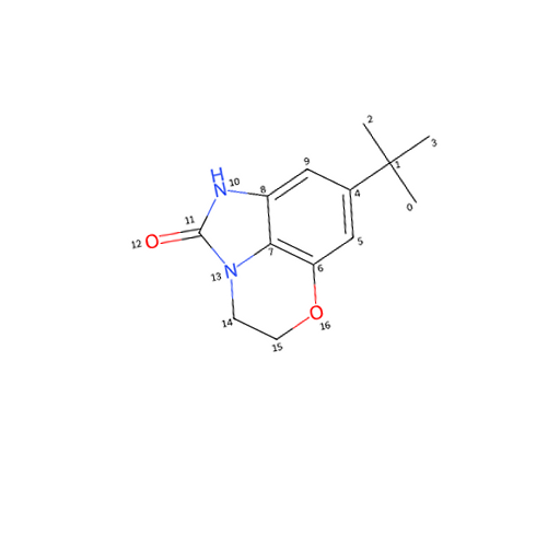 CC(C)(C)c1cc2c3c(c1)[nH]c(=O)n3CCO2